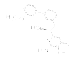 C#C[C@@H](Cc1cccc(-c2cccc(OC)c2)c1)c1cc(=O)n(C)c(N)n1